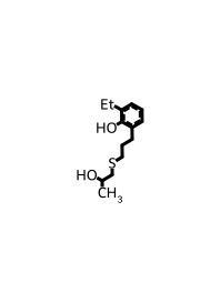 CCc1cccc(CCCSCC(C)O)c1O